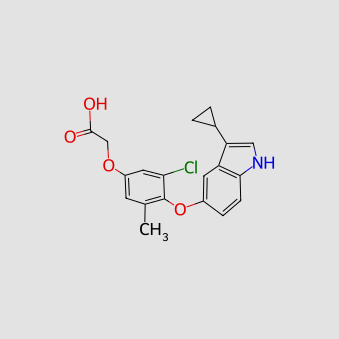 Cc1cc(OCC(=O)O)cc(Cl)c1Oc1ccc2[nH]cc(C3CC3)c2c1